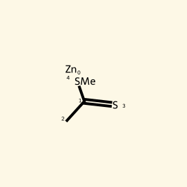 CSC(C)=S.[Zn]